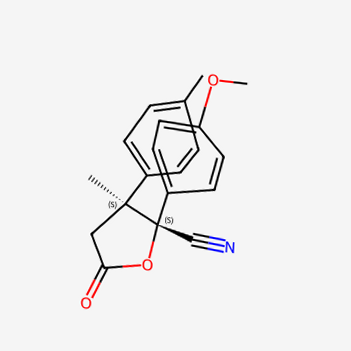 COc1ccc([C@]2(C#N)OC(=O)C[C@@]2(C)c2ccc(C)cc2)cc1